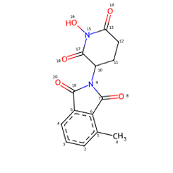 Cc1cccc2c1C(=O)N(C1CCC(=O)N(O)C1=O)C2=O